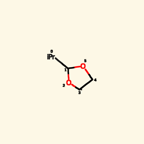 CC(C)C1O[CH]CO1